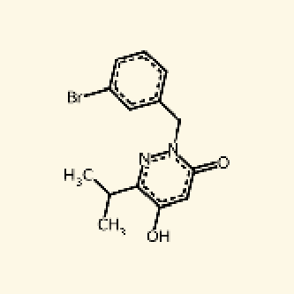 CC(C)c1nn(Cc2cccc(Br)c2)c(=O)cc1O